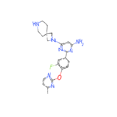 Cc1ccnc(Oc2ccc(-c3nc(N)cc(N4CC5(CCNCC5)C4)n3)cc2F)n1